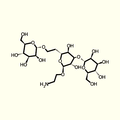 NCCO[C@H]1O[C@H](CCO[C@H]2O[C@H](CO)[C@@H](O)[C@H](O)[C@@H]2O)[C@@H](O)[C@H](O[C@H]2O[C@H](CO)[C@@H](O)[C@H](O)[C@@H]2O)[C@@H]1O